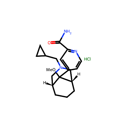 COC1(c2ccnc(C(N)=O)c2)[C@@H]2CCC[C@H]1CN(CC1CC1)C2.Cl